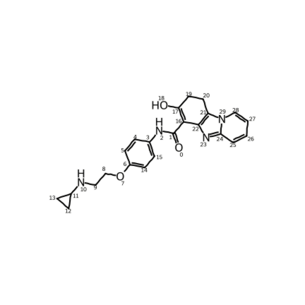 O=C(Nc1ccc(OCCNC2CC2)cc1)C1=C(O)CCc2c1nc1ccccn21